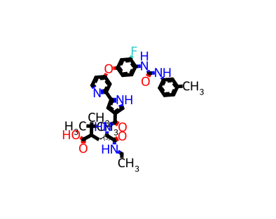 CCNC(=O)[C@H](CC(C(=O)O)C(C)(C)C)NC(=O)c1c[nH]c(-c2cc(Oc3ccc(NC(=O)Nc4cccc(C)c4)c(F)c3)ccn2)c1